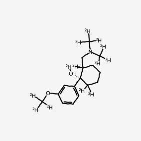 [2H]O[C@@]1(c2cccc(OC([2H])([2H])[2H])c2)C([2H])([2H])CCC[C@@]1([2H])CN(C([2H])([2H])[2H])C([2H])([2H])[2H]